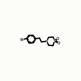 O=S1(=O)CCN(CCc2ccc(Br)cc2)CC1